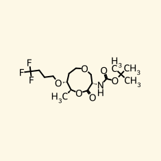 C[C@@H]1OC(=O)[C@@H](NC(=O)OC(C)(C)C)COCC[C@H]1OCCCC(F)(F)F